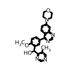 COc1ccc(-c2ncnc3cc(N4CCOCC4)ccc23)cc1C(O)c1ncncc1C